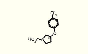 O=C(O)N1CC[C@H](Oc2ccc(C(F)(F)F)cc2)C1